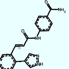 NC(=O)c1ccc(NC(=O)/C=C/c2cnccc2-c2cn[nH]c2)cc1